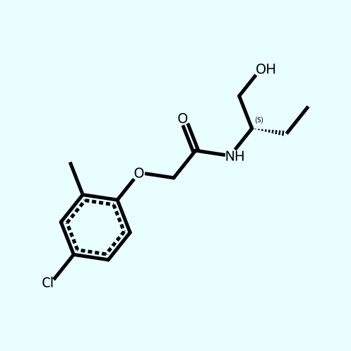 CC[C@@H](CO)NC(=O)COc1ccc(Cl)cc1C